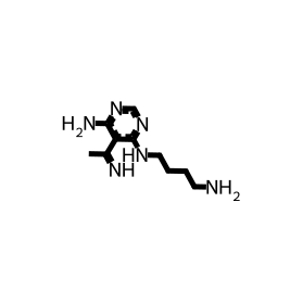 CC(=N)c1c(N)ncnc1NCCCCN